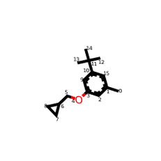 Cc1cc(OCC2CC2)cc(C(C)(C)C)c1